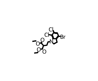 CCOC(=O)C(CCN1CCc2c(Br)cc(Cl)c(Cl)c21)C(=O)OCC